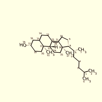 CC(C)CCC[C@@H](C)[C@H]1CCC2=C3CCC4C[C@@H](O)CC[C@]4(C)[C@H]3CC[C@@]21C